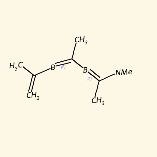 C=C(C)/B=C(C)\B=C(/C)NC